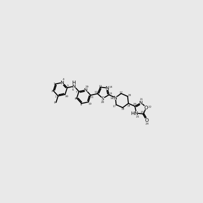 Cc1ccnc(Nc2cccc(-c3cnc(N4CCC(c5noc(=O)[nH]5)CC4)s3)n2)c1